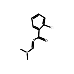 CN(C)C=NC(=O)c1ccccc1Cl